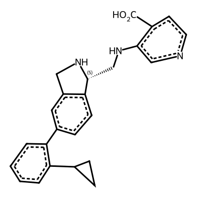 O=C(O)c1ccncc1NC[C@H]1NCc2cc(-c3ccccc3C3CC3)ccc21